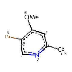 COc1cc(C(F)(F)F)ncc1Br